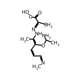 B/C(=N\N/C(C)=C(/C=C\C=N/C)OC(C)N)C(=O)OO